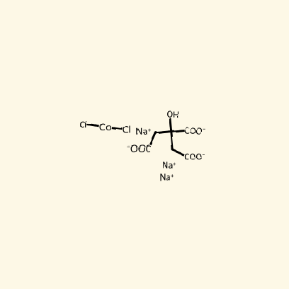 O=C([O-])CC(O)(CC(=O)[O-])C(=O)[O-].[Cl][Co][Cl].[Na+].[Na+].[Na+]